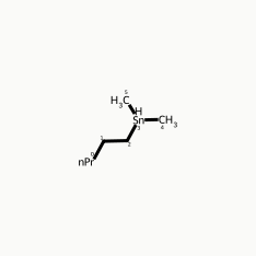 CCCC[CH2][SnH]([CH3])[CH3]